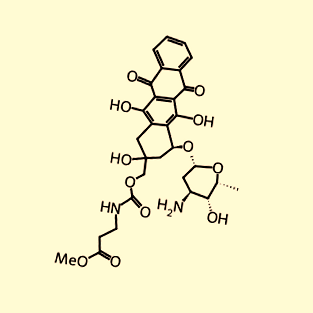 COC(=O)CCNC(=O)OCC1(O)Cc2c(O)c3c(c(O)c2[C@@H](O[C@H]2C[C@H](N)[C@@H](O)[C@@H](C)O2)C1)C(=O)c1ccccc1C3=O